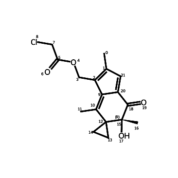 CC1=C(COC(=O)CCl)C2=C(C)C3(CC3)[C@@](C)(O)C(=O)C2=C1